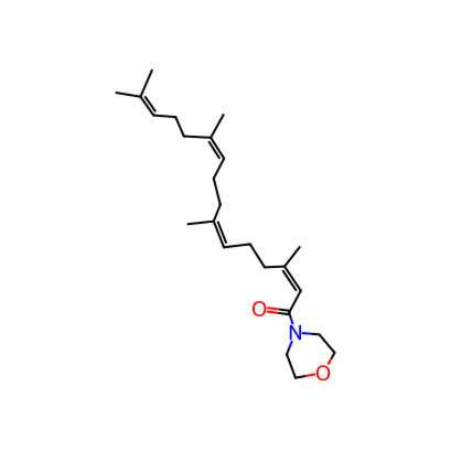 CC(C)=CCCC(C)=CCCC(C)=CCCC(C)=CC(=O)N1CCOCC1